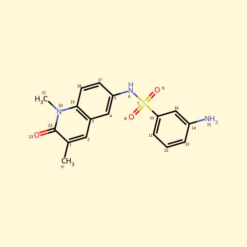 Cc1cc2cc(NS(=O)(=O)c3cccc(N)c3)ccc2n(C)c1=O